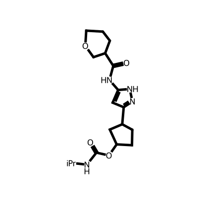 CC(C)NC(=O)OC1CCC(c2cc(NC(=O)C3CCCOC3)[nH]n2)C1